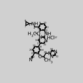 COc1c(CNC2CC2)cccc1Nc1ncc(-c2ccc(C#N)c(OC(C)Cn3cncn3)c2)cn1.Cl